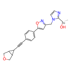 C[C@H](O)c1nccn1Cc1cc(-c2ccc(C#CC3C4COCC34)cc2)on1